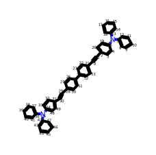 C(#Cc1ccc(N(c2ccccc2)c2ccccc2)cc1)c1ccc(-c2ccc(C#Cc3ccc(N(c4ccccc4)c4ccccc4)cc3)cc2)cc1